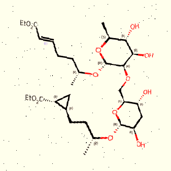 CCOC(=O)/C=C/CC[C@@H](C)O[C@@H]1O[C@@H](C)[C@H](O)[C@@H](O)[C@H]1OC[C@@H]1O[C@@H](O[C@H](C)CC[C@@H]2C[C@H]2C(=O)OCC)[C@H](O)C[C@H]1O